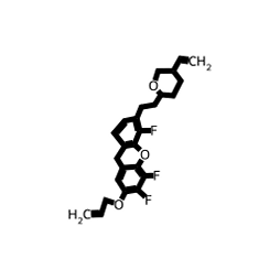 C=CCOc1cc2c(c(F)c1F)Oc1c(ccc(CCC3CCC(C=C)CO3)c1F)C2